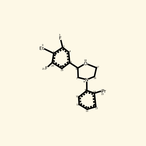 CCc1c(F)cc(C2CN(c3ccccc3C(C)C)CCO2)cc1F